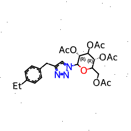 CCc1ccc(Cc2cn(C3OC(COC(C)=O)[C@@H](OC(C)=O)C(OC(C)=O)[C@H]3OC(C)=O)nn2)cc1